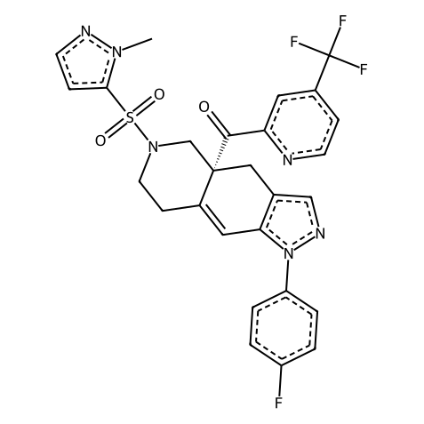 Cn1nccc1S(=O)(=O)N1CCC2=Cc3c(cnn3-c3ccc(F)cc3)C[C@]2(C(=O)c2cc(C(F)(F)F)ccn2)C1